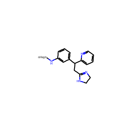 CCCCCCCNc1cccc(C(CC2=NCCN2)c2ccccn2)c1